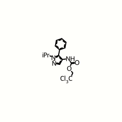 CC(C)n1ncc(NC(=O)OCC(Cl)(Cl)Cl)c1-c1ccccc1